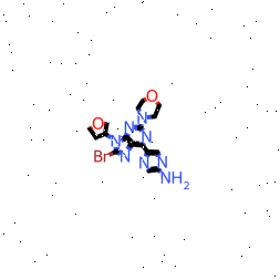 Nc1cnc(-c2nc(N3CCOCC3)nc3c2nc(Br)n3C2CCOC2)cn1